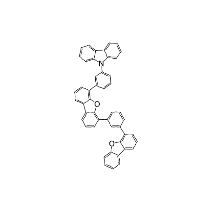 c1cc(-c2cccc3c2oc2ccccc23)cc(-c2cccc3c2oc2c(-c4cccc(-n5c6ccccc6c6ccccc65)c4)cccc23)c1